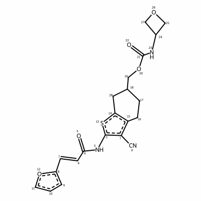 N#Cc1c(NC(=O)C=Cc2ccco2)sc2c1CCC(COC(=O)NC1COC1)C2